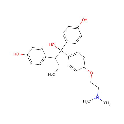 CCC(c1ccc(O)cc1)C(O)(c1ccc(O)cc1)c1ccc(OCCN(C)C)cc1